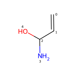 C=CC(N)O